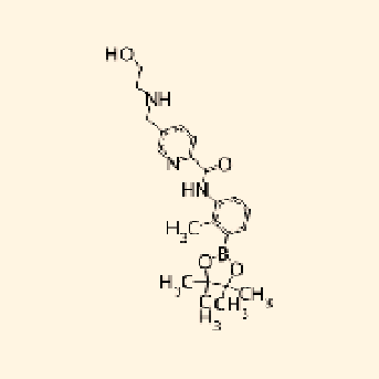 Cc1c(NC(=O)c2ccc(CNCCO)cn2)cccc1B1OC(C)(C)C(C)(C)O1